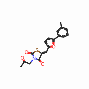 CC(=O)CN1C(=O)S/C(=C\c2ccc(-c3cccc(C)c3)o2)C1=O